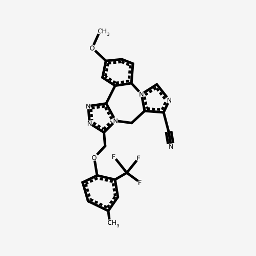 COc1ccc2c(c1)-c1nnc(COc3ccc(C)cc3C(F)(F)F)n1Cc1c(C#N)ncn1-2